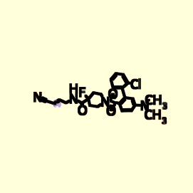 CN(C)c1ccc(S(=O)(=O)N2CCC(F)(C(=O)NC/C=C/C#N)CC2)c(-c2ccccc2Cl)c1